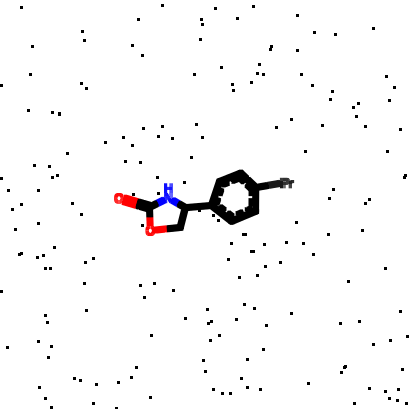 CC(C)c1ccc(C2COC(=O)N2)cc1